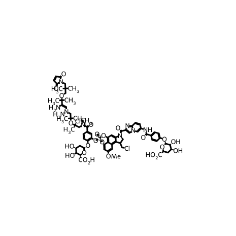 COc1ccc2c(OS(=O)(=O)Oc3cc(C(=O)N(C)CC(C)(C)OC(C)(C)CN(N)/C=C(\N)C(C)(C)OCC(C)(C)CN4C(=O)C=CC4=O)ccc3O[C@H]3C[C@@H](O)C(O)[C@@H](C(=O)O)O3)cc3c(c2c1)C(CCl)CN3C(=O)c1cn2cc(NC(=O)c3ccc(O[C@@H]4OC(C(=O)O)C[C@H](O)[C@H]4O)cc3)ccc2n1